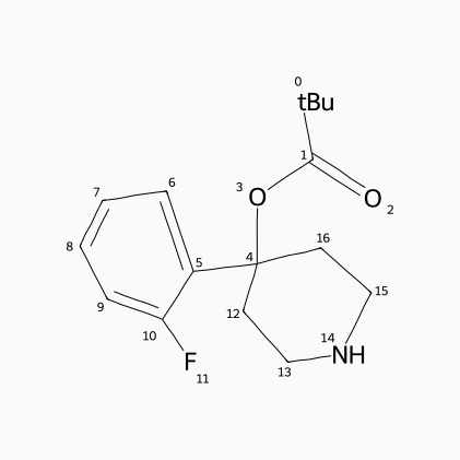 CC(C)(C)C(=O)OC1(c2ccccc2F)CCNCC1